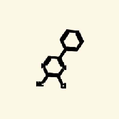 N#Cc1ncc(-c2ccccc2)nc1Cl